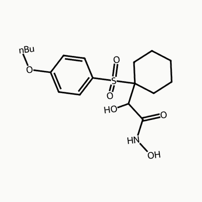 CCCCOc1ccc(S(=O)(=O)C2(C(O)C(=O)NO)CCCCC2)cc1